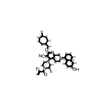 C=C(F)C(=O)N1CCN(c2c(C#N)c(OCC3CCCC(C)CC3)nc3c2CCN(c2cccc4cc(O)ccc24)C3)C[C@H]1C